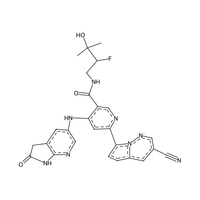 CC(C)(O)C(F)CNC(=O)c1cnc(-c2ccc3cc(C#N)cnn23)cc1Nc1cnc2c(c1)CC(=O)N2